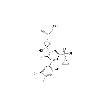 CC[C@](O)(c1cc(C2(O)CN(C(=O)OC(C)(C)C)C2)c(F)c(-c2cc(Cl)c(F)cc2F)n1)C1CC1